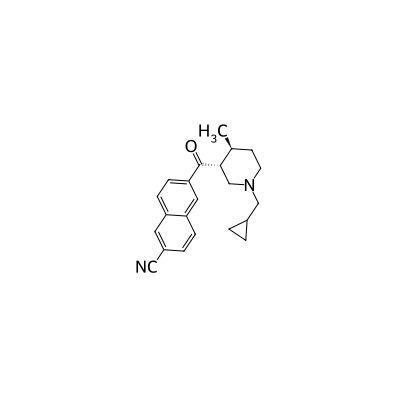 C[C@H]1CCN(CC2CC2)C[C@@H]1C(=O)c1ccc2cc(C#N)ccc2c1